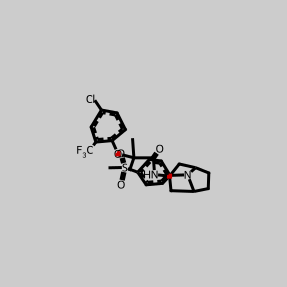 CC(C)(Oc1ccc(Cl)cc1C(F)(F)F)C(=O)NC1CC2CCC(C1)N2c1ccc(S(C)(=O)=O)cc1